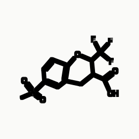 CS(=O)(=O)c1ccc2c(c1)CC(C(=O)O)C(C(F)(F)F)O2